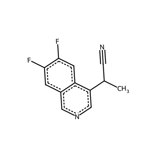 CC(C#N)c1cncc2cc(F)c(F)cc12